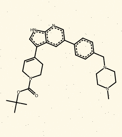 CN1CCN(Cc2ccc(-c3cnc4[nH]cc(C5=CCN(C(=O)OC(C)(C)C)CC5)c4c3)cc2)CC1